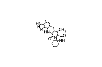 Cc1c2c(c(=O)n3c1C(=O)NC31CCCCC1)Nc1c(cnc3[nH]nnc13)C2